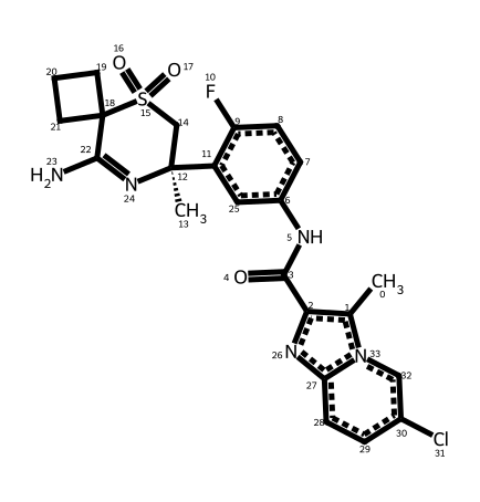 Cc1c(C(=O)Nc2ccc(F)c([C@]3(C)CS(=O)(=O)C4(CCC4)C(N)=N3)c2)nc2ccc(Cl)cn12